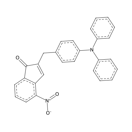 O=C1C(Cc2ccc(N(c3ccccc3)c3ccccc3)cc2)=Cc2c1cccc2[N+](=O)[O-]